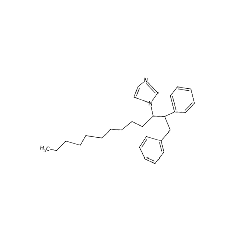 CCCCCCCCCCC(C(Cc1ccccc1)c1ccccc1)n1ccnc1